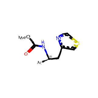 COC(=O)N[C@@H](Cc1cscn1)C(C)=O